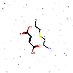 NCCSCCN.O=C(O)/C=C/C(=O)O